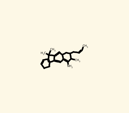 C/C=C\CC1CC2C=C3C(=CC2=C(N)C1C)C1=C(C=CCC1)C3(C)C